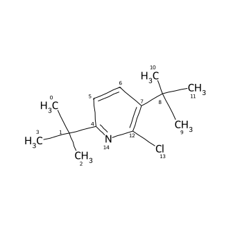 CC(C)(C)c1ccc(C(C)(C)C)c(Cl)n1